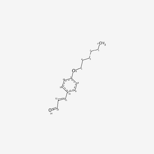 CCCCCCOc1ccc(/C=C/C=O)cc1